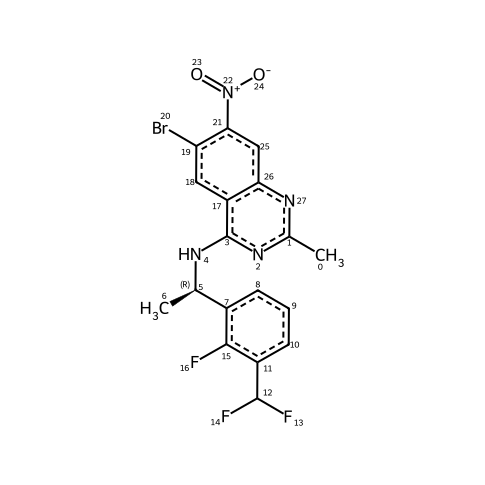 Cc1nc(N[C@H](C)c2cccc(C(F)F)c2F)c2cc(Br)c([N+](=O)[O-])cc2n1